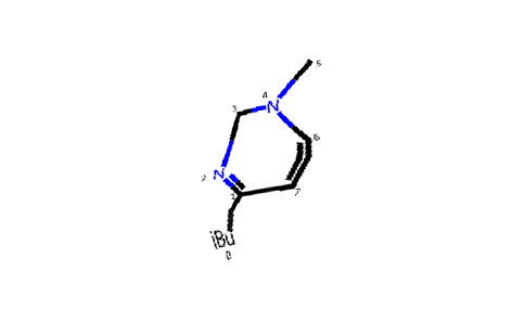 CCC(C)C1=NCN(C)C=C1